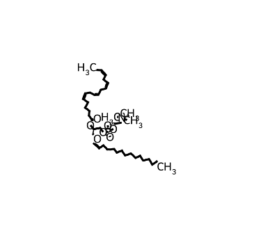 CC/C=C\C/C=C\C/C=C\C/C=C\CCCCC(=O)O[C@H](CO/C=C\CCCCCCCCCCCCCC)COP(=O)([O-])OCC[N+](C)(C)C